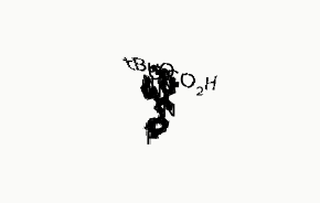 Cn1ccc(-c2cc(-c3ccc(F)cc3)ncc2C2CN(C(=O)OC(C)(C)C)C(C)(C(=O)O)C2)n1